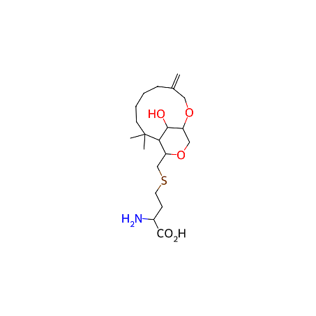 C=C1CCCCC(C)(C)C2C(CSCCC(N)C(=O)O)OCC(OC1)C2O